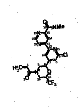 C=CC(=O)N1C[C@@H](c2cc(Cl)nc(-c3cc(C(=O)NC)ncn3)c2)O[C@@H](C(F)(F)F)C1